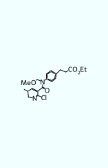 CCOC(=O)CCc1ccc(N(COC)C(=O)C2=CC(C)CN=C2Cl)cc1